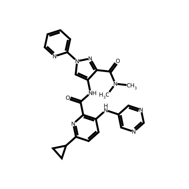 CN(C)C(=O)c1nn(-c2ccccn2)cc1NC(=O)c1nc(C2CC2)ccc1Nc1cncnc1